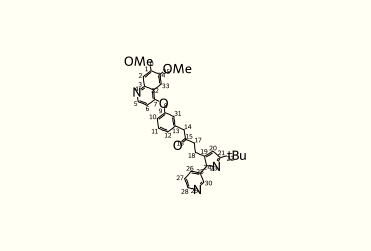 COc1cc2nccc(Oc3cccc(CC(=O)CCC4=CC(C(C)(C)C)=NC4c4cccnc4)c3)c2cc1OC